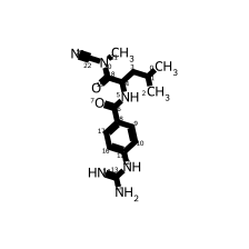 CC(C)CC(NC(=O)c1ccc(NC(=N)N)cc1)C(=O)N(C)C#N